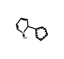 N=[N+]1C=CC=CC1c1ccccc1